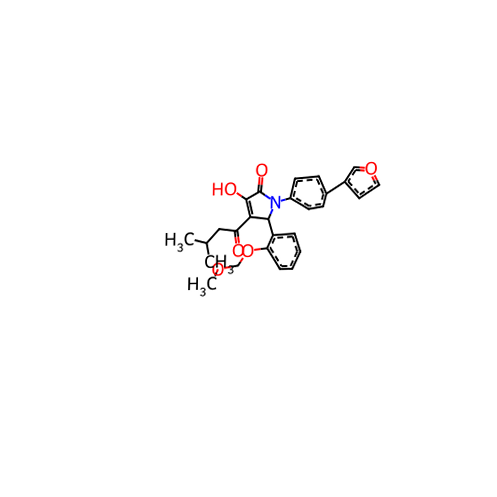 COCOc1ccccc1C1C(C(=O)CC(C)C)=C(O)C(=O)N1c1ccc(-c2ccoc2)cc1